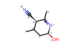 CC1=N[C@@H](O)CC(C)[C@H]1C#N